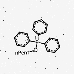 CCCCCO[PH](c1ccccc1)(c1ccccc1)c1ccccc1